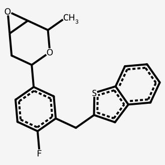 CC1OC(c2ccc(F)c(Cc3cc4ccccc4s3)c2)CC2OC12